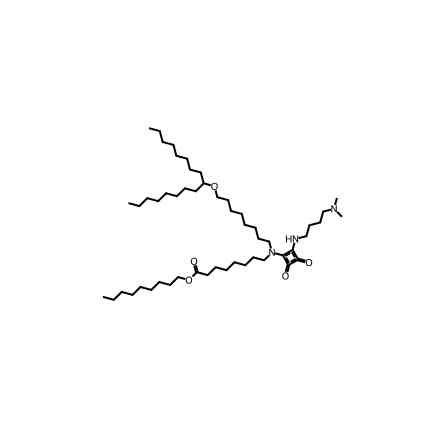 CCCCCCCCCOC(=O)CCCCCCCN(CCCCCCCCOC(CCCCCCCC)CCCCCCCC)c1c(NCCCCN(C)C)c(=O)c1=O